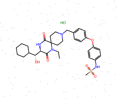 CCN1C(=O)[C@@H]([C@H](O)C2CCCCC2)NC(=O)C12CCN(Cc1ccc(Oc3ccc(NS(C)(=O)=O)cc3)cc1)CC2.Cl